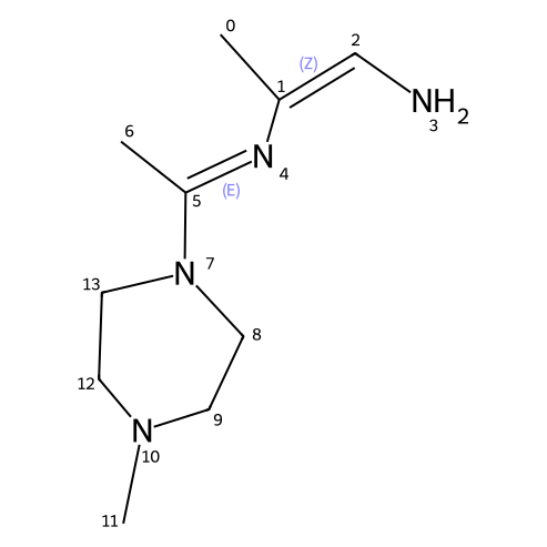 CC(=C/N)/N=C(\C)N1CCN(C)CC1